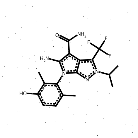 Cc1ccc(O)c(C)c1-n1c(N)c(C(N)=O)c2c(C(F)(F)F)n(C(C)C)nc21